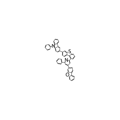 c1ccc(-c2cc(-c3ccc4c(c3)oc3ccccc34)cc(-c3cccc4sc5cc(-c6ccc7c(c6)c6ccccc6n7-c6ccccc6)ccc5c34)n2)cc1